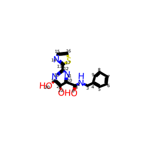 O=C(NCc1ccccc1)c1nc(-c2nccs2)nc(O)c1O